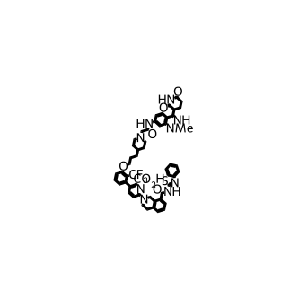 CNc1cc(NC(=O)CN2CCC(CCCOc3cccc(-c4ccc(N5CCc6cccc(C(=O)Nc7nc8ccccc8s7)c6C5)nc4C(=O)O)c3C(F)(F)F)CC2)ccc1C(=N)C1CCC(=O)NC1=O